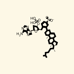 CC(C)CCC[C@@H](C)[C@H]1CCC2C3CC=C4CC(c5cc([N+](=O)[O-])ccc5C[C@H]5O[C@@H](n6cnc7c(N)ncnc76)C[C@@H]5OP(=O)(O)O)CC[C@]4(C)C3CC[C@@]21C